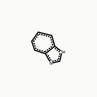 c1ccc2[se]cnc2c1